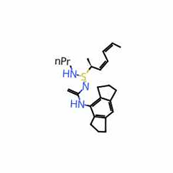 C=C(/N=S(\NCCC)[C@@H](C)/C=C\C=C/C)Nc1c2c(cc3c1CCC3)CCC2